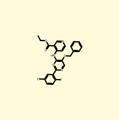 CCOC(=O)c1cnccc1Nc1nc(-c2cc(Cl)ccc2F)ncc1OCc1ccccc1